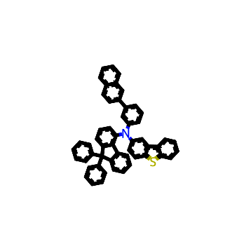 c1ccc(C2(c3ccccc3)c3ccccc3-c3c(N(c4cccc(-c5ccc6ccccc6c5)c4)c4ccc5sc6ccccc6c5c4)cccc32)cc1